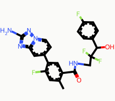 Cc1cc(F)c(-c2ccn3nc(N)nc3c2)cc1C(=O)NCC(F)(F)C(O)c1ccc(F)cc1